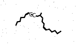 CCCCC/C=C\CCCC(C)CCC/C=C\CCCCC